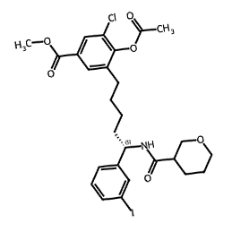 COC(=O)c1cc(Cl)c(OC(C)=O)c(CCCC[C@H](NC(=O)C2CCCOC2)c2cccc(I)c2)c1